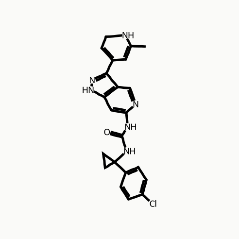 CC1=CC(c2n[nH]c3cc(NC(=O)NC4(c5ccc(Cl)cc5)CC4)ncc23)=CCN1